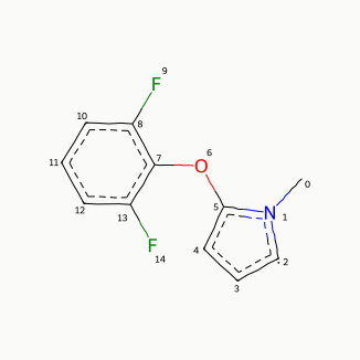 Cn1[c]ccc1Oc1c(F)cccc1F